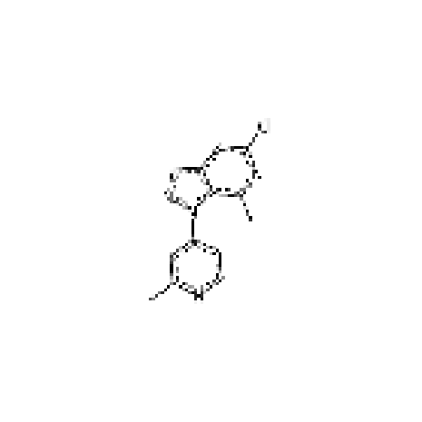 Cc1cc(-n2ncc3cc(Cl)nc(C)c32)ccn1